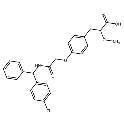 COC(Cc1ccc(OCC(=O)NC(c2ccccc2)c2ccc(Cl)cc2)cc1)C(=O)O